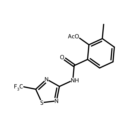 CC(=O)Oc1c(C)cccc1C(=O)Nc1nsc(C(F)(F)F)n1